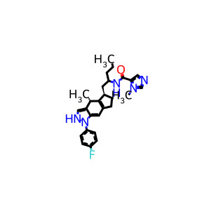 CCCC(C[C@H]1CCC2=C1[C@@H](C)C1=CNN(c3ccc(F)cc3)C1=C2)NC(=O)c1cncn1C